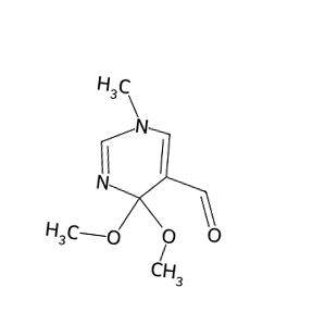 COC1(OC)N=CN(C)C=C1C=O